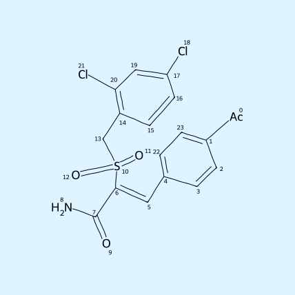 CC(=O)c1ccc(C=C(C(N)=O)S(=O)(=O)Cc2ccc(Cl)cc2Cl)cc1